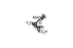 COc1cc(S(C)(=O)=O)ccc1NCC#Cc1cc(C(=O)NC2CCN(C(=O)O)CC2C#N)c2ncn(CC(F)(F)F)c2c1